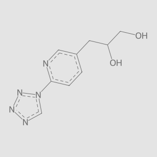 OCC(O)Cc1ccc(-n2cnnn2)nc1